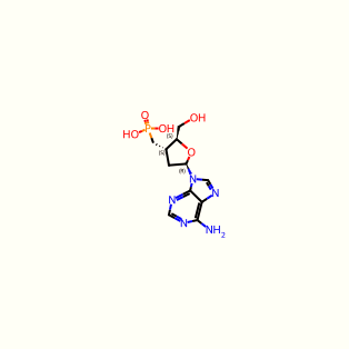 Nc1ncnc2c1ncn2[C@H]1C[C@H](CP(=O)(O)O)[C@@H](CO)O1